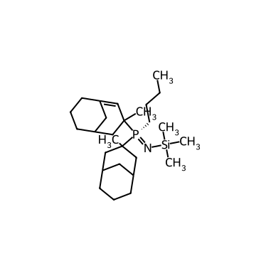 CCCC[P@@](=N[Si](C)(C)C)(C1(C)C=C2CCCC(C2)C1)C1(C)CC2CCCC(C2)C1